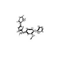 COc1cc(Nc2ncc(C3CCCN3)o2)ccc1-c1cnco1